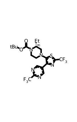 CC[C@@H]1CN(c2sc(C(F)(F)F)nc2-c2cnc(C(F)(F)F)nc2)CCN1C(=O)OC(C)(C)C